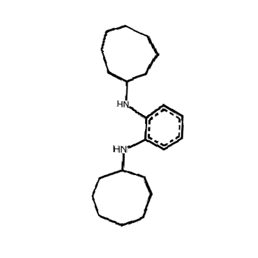 c1ccc(NC2CCCCCCC2)c(NC2CCCCCCC2)c1